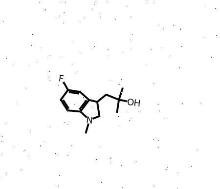 CN1CC(CC(C)(C)O)c2cc(F)ccc21